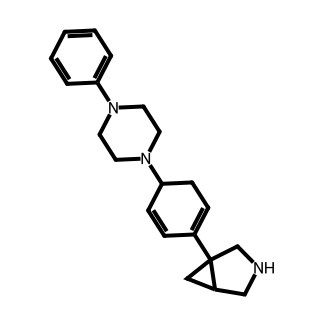 C1=CC(N2CCN(c3ccccc3)CC2)CC=C1C12CNCC1C2